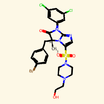 C[C@@]1(Cc2ccc(Br)cc2)C(=O)N(c2cc(Cl)cc(Cl)c2)c2ncc(S(=O)(=O)N3CCN(CCO)CC3)n21